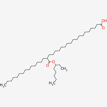 CCCCCCCCCCCCCCC(CCCCCCCCCCCCCCCCCC(=O)O)C(=O)OC(CC)CCCCC